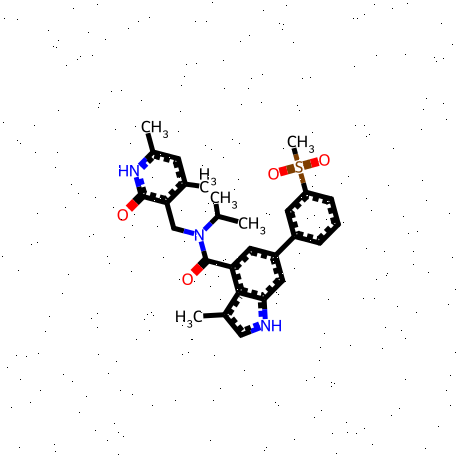 Cc1cc(C)c(CN(C(=O)c2cc(-c3cccc(S(C)(=O)=O)c3)cc3[nH]cc(C)c23)C(C)C)c(=O)[nH]1